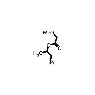 COCC(=O)OC(C)CC(C)C